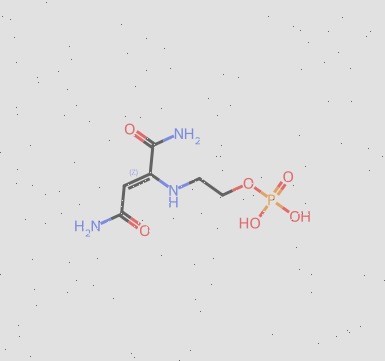 NC(=O)/C=C(\NCCOP(=O)(O)O)C(N)=O